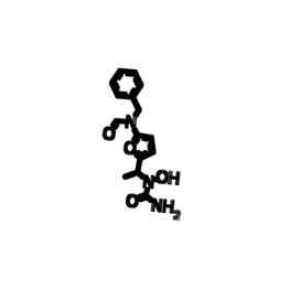 CC(c1ccc(N(C=O)Cc2ccccc2)o1)N(O)C(N)=O